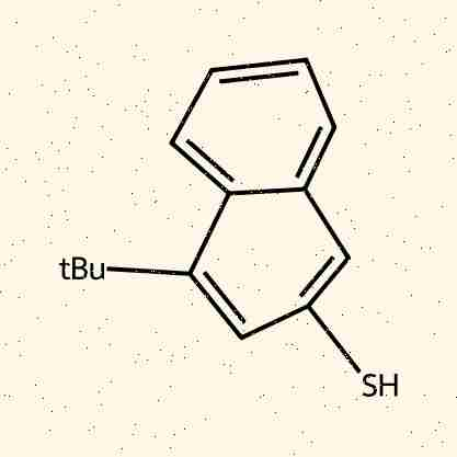 CC(C)(C)c1cc(S)cc2ccccc12